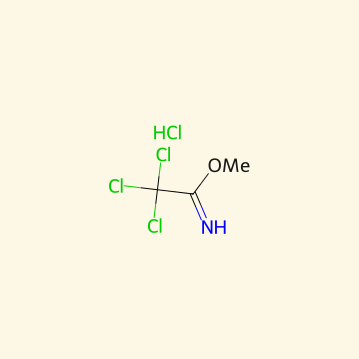 COC(=N)C(Cl)(Cl)Cl.Cl